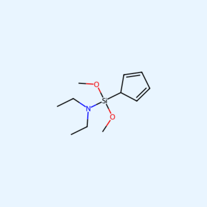 CCN(CC)[Si](OC)(OC)C1C=CC=C1